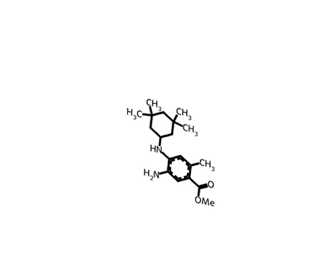 COC(=O)c1cc(N)c(NC2CC(C)(C)CC(C)(C)C2)cc1C